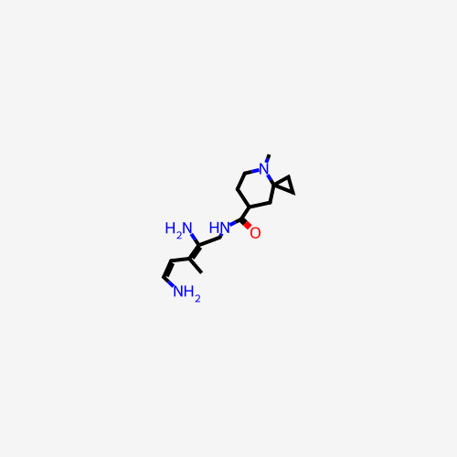 CC(/C=C\N)=C(/N)CNC(=O)C1CCN(C)C2(CC2)C1